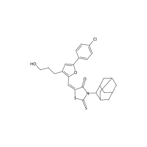 O=C1/C(=C\c2oc(-c3ccc(Cl)cc3)cc2CCCO)SC(=S)N1C1C2CC3CC(C2)CC1C3